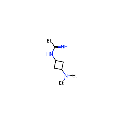 CCC(=N)NC1CC(N(CC)CC)C1